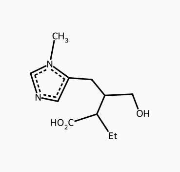 CCC(C(=O)O)C(CO)Cc1cncn1C